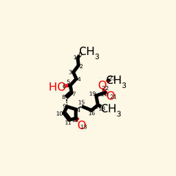 CCCCCC(O)C=C[C@H]1C=CC(=O)[C@H]1CCC(C)CC(=O)OC